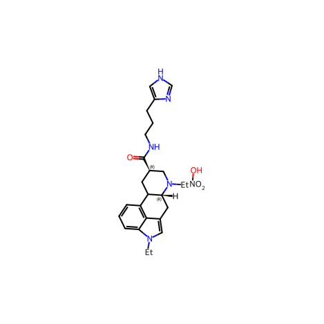 CCN1C[C@H](C(=O)NCCCc2c[nH]cn2)CC2c3cccc4c3c(cn4CC)C[C@H]21.O=[N+]([O-])O